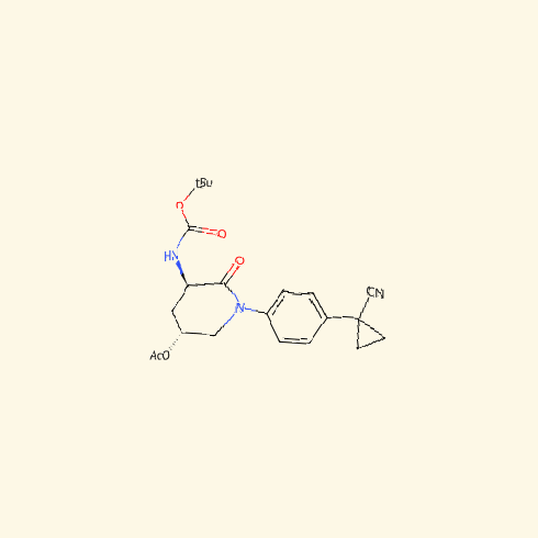 CC(=O)O[C@@H]1C[C@@H](NC(=O)OC(C)(C)C)C(=O)N(c2ccc(C3(C#N)CC3)cc2)C1